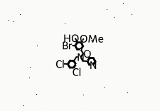 COc1cc(C(=O)N(Cc2cccnc2)Cc2cc(Cl)cc(Cl)c2)cc(Br)c1O